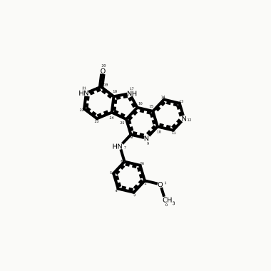 COc1cccc(Nc2nc3cnccc3c3[nH]c4c(=O)[nH]ccc4c23)c1